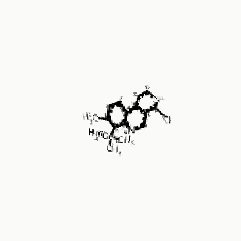 Cc1ccc2c(ncc3c(Cl)nccc32)[c]1[Ge]([CH3])([CH3])[CH3]